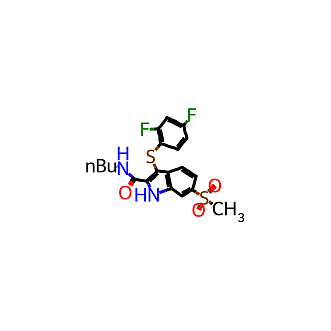 CCCCNC(=O)c1[nH]c2cc(S(C)(=O)=O)ccc2c1Sc1ccc(F)cc1F